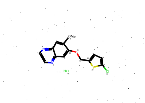 COc1cc2nccnc2cc1OCc1ccc(Cl)s1.Cl